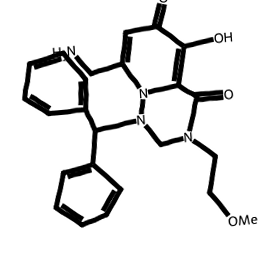 COCCN1CN(C(c2ccccc2)c2ccccc2)n2c(CN)cc(=O)c(O)c2C1=O